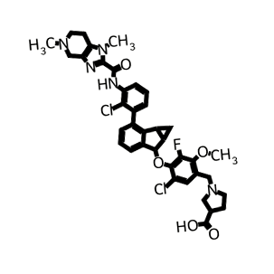 COc1c(CN2CCC(C(=O)O)C2)cc(Cl)c(OC2c3cccc(-c4cccc(NC(=O)c5nc6c(n5C)CCN(C)C6)c4Cl)c3C3CC32)c1F